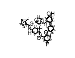 Cc1ncsc1C(=O)N[C@H]1CC[C@H](NC(=O)c2cc(F)cnc2Oc2cccc(-c3ccc(O)cc3CN3CCOCC3)c2)CC1